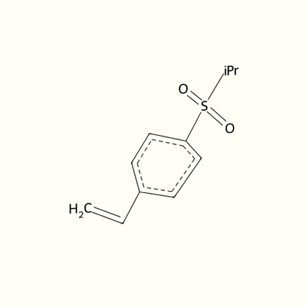 C=Cc1ccc(S(=O)(=O)C(C)C)cc1